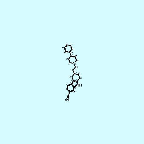 N#Cc1ccc2c3c([nH]c2c1)CCC(CCN1CC=C(c2ccccc2)CC1)C3